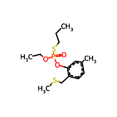 CCCSP(=O)(OCC)Oc1cc(C)ccc1CSC